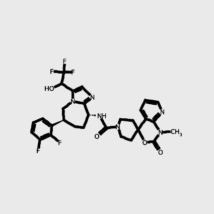 CN1C(=O)OC2(CCN(C(=O)N[C@@H]3CC[C@@H](c4cccc(F)c4F)Cn4c(C(O)C(F)(F)F)cnc43)CC2)c2cccnc21